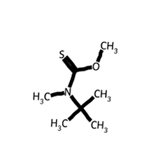 COC(=S)N(C)C(C)(C)C